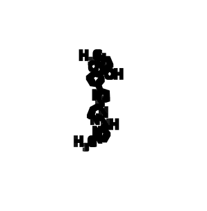 CN1CC[C@@](O)(c2cccc(-c3ccn(-c4ccnc(Nc5ccn(C)n5)n4)n3)c2)C1=O